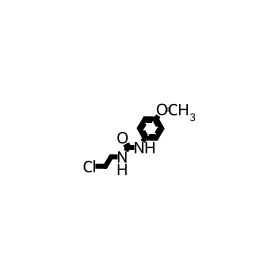 COc1ccc(NC(=O)NCCCl)cc1